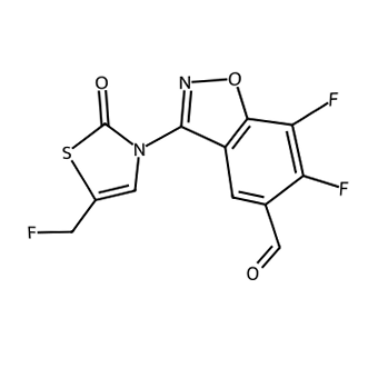 O=Cc1cc2c(-n3cc(CF)sc3=O)noc2c(F)c1F